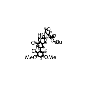 COc1cc(OC)c(Cl)c(-c2cc3cnc(N[C@@H]4COC[C@@H]4NC(=O)OC(C)(C)C)nc3c(Cl)n2)c1Cl